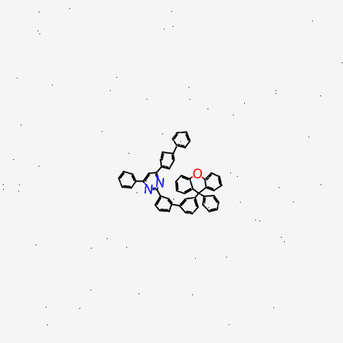 c1ccc(-c2ccc(-c3cc(-c4ccccc4)nc(-c4cccc(-c5cccc(C6(c7ccccc7)c7ccccc7Oc7ccccc76)c5)c4)n3)cc2)cc1